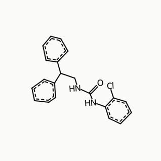 O=C(NCC(c1ccccc1)c1ccccc1)Nc1ccccc1Cl